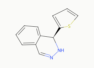 C1=NN[C@H](c2cccs2)c2ccccc21